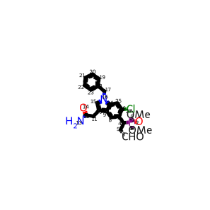 COP(=O)(OC)C(CC=O)c1cc2c(CC(N)=O)cn(Cc3ccccc3)c2cc1Cl